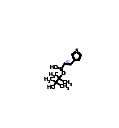 CC(C)(O)C(C)(C)OB(O)/C=C/c1ccsc1